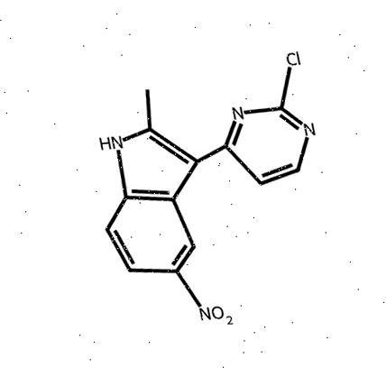 Cc1[nH]c2ccc([N+](=O)[O-])cc2c1-c1ccnc(Cl)n1